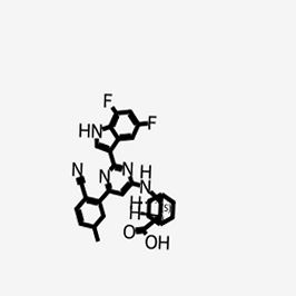 CC1C=CC(C#N)=C(c2cc(N[C@H]3C4CCC(CC4)[C@@H]3C(=O)O)nc(-c3c[nH]c4c(F)cc(F)cc34)n2)C1